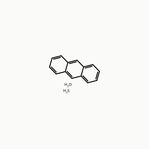 O.S.c1ccc2cc3ccccc3cc2c1